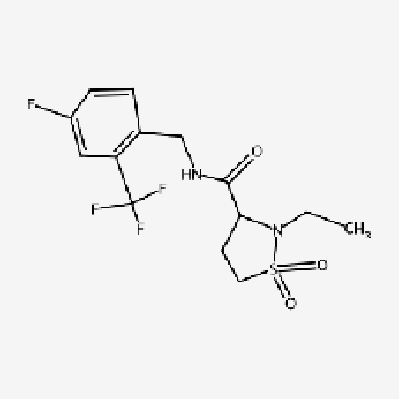 CCN1C(C(=O)NCc2ccc(F)cc2C(F)(F)F)CCS1(=O)=O